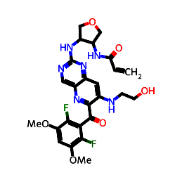 C=CC(=O)NC1COCC1Nc1ncc2nc(C(=O)c3c(F)c(OC)cc(OC)c3F)c(NCCO)cc2n1